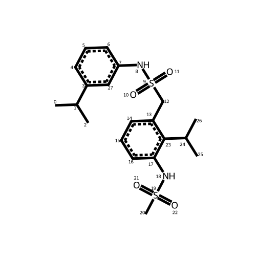 CC(C)c1cccc(NS(=O)(=O)Cc2cccc(NS(C)(=O)=O)c2C(C)C)c1